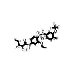 CCOc1cc(NC(=O)[C@@H](O)[C@@H](C)CC)ccc1S(=O)(=O)Nc1ccc(F)c(OC(F)(F)F)c1